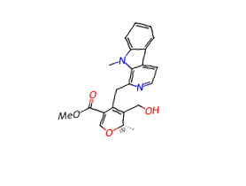 COC(=O)C1=CO[C@@H](C)C(CO)=C1Cc1nccc2c3ccccc3n(C)c12